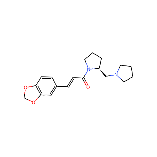 O=C(/C=C/c1ccc2c(c1)OCO2)N1CCC[C@H]1CN1CCCC1